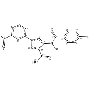 CC(=O)c1cccc(-c2cc(N(C)C(=O)c3ccc(C)cc3)c(C(=O)O)s2)c1